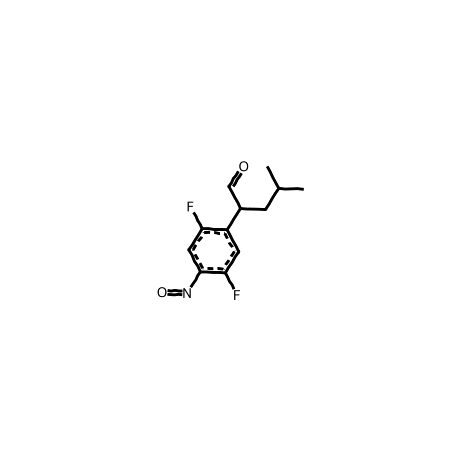 CC(C)CC(C=O)c1cc(F)c(N=O)cc1F